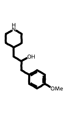 COc1ccc(CC(O)CC2CCNCC2)cc1